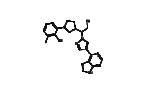 Cc1cccc(N2CCC(C(CC#N)n3cc(-c4ncnc5[nH]ccc45)cn3)C2)c1C#N